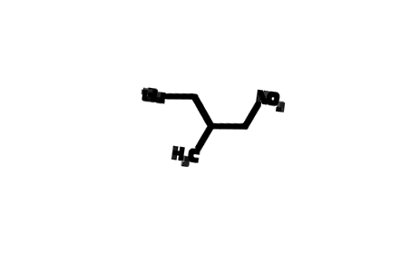 CC(C[N+](=O)[O-])CC(C)(C)C